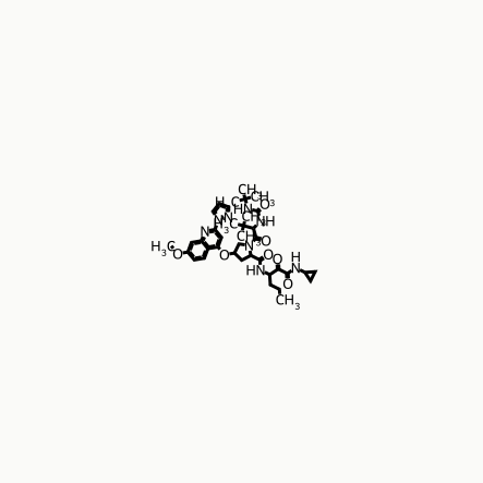 CCCC(NC(=O)C1CC(Oc2cc(-n3cccn3)nc3cc(OC)ccc23)CN1C(=O)C(NC(=O)NC(C)(C)C)C(C)(C)C)C(=O)C(=O)NC1CC1